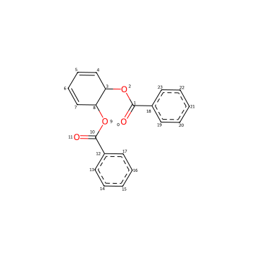 O=C(OC1C=CC=CC1OC(=O)c1ccccc1)c1ccccc1